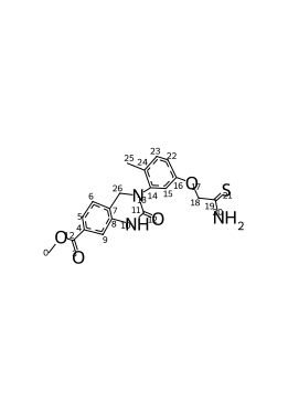 COC(=O)c1ccc2c(c1)NC(=O)N(c1cc(OCC(N)=S)ccc1C)C2